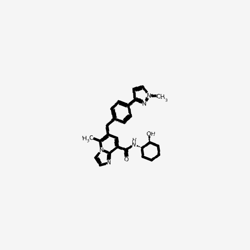 Cc1c(Cc2ccc(-c3ccn(C)n3)cc2)cc(C(=O)N[C@H]2CCCC[C@@H]2O)c2nccn12